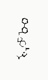 CC(=O)c1ccn(C(=O)N2CCC3(CCN(Cc4cccc(-c5ccccc5)c4)C3)CC2)n1